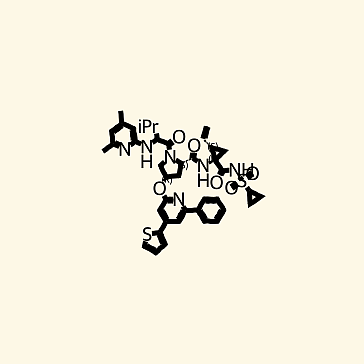 C=C[C@@H]1C[C@]1(NC(=O)[C@@H]1C[C@@H](Oc2cc(-c3cccs3)cc(-c3ccccc3)n2)CN1C(=O)C(Nc1cc(C)cc(C)n1)C(C)C)C(=O)NS(=O)(=O)C1CC1